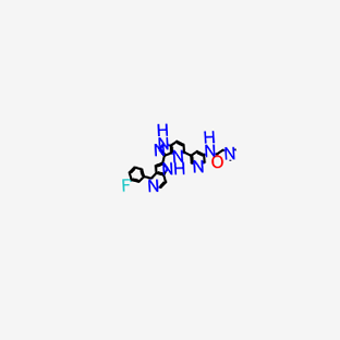 CN(C)CC(=O)Nc1cncc(-c2ccc3[nH]nc(-c4cc5c(-c6cccc(F)c6)nccc5[nH]4)c3n2)c1